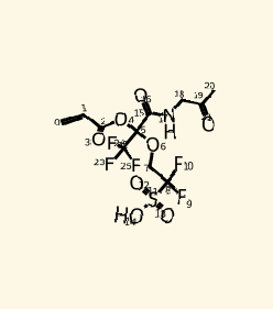 C=CC(=O)OC(OCC(F)(F)S(=O)(=O)O)(C(=O)NCC(C)=O)C(F)(F)F